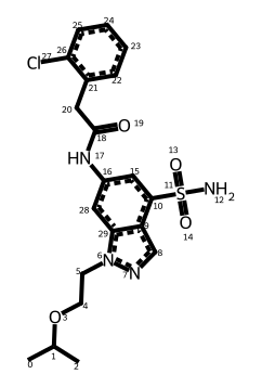 CC(C)OCCn1ncc2c(S(N)(=O)=O)cc(NC(=O)Cc3ccccc3Cl)cc21